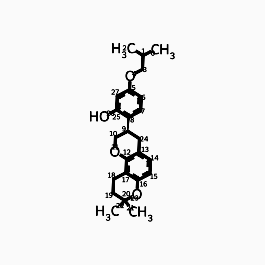 CC(C)COc1ccc([C@@H]2COc3c(ccc4c3CCC(C)(C)O4)C2)c(O)c1